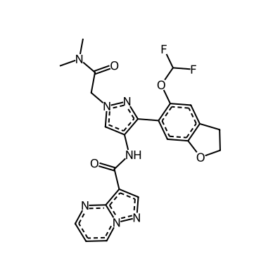 CN(C)C(=O)Cn1cc(NC(=O)c2cnn3cccnc23)c(-c2cc3c(cc2OC(F)F)CCO3)n1